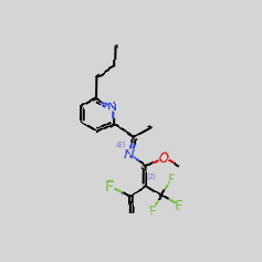 C=C(F)/C(=C(\N=C(/C)c1cccc(CCC)n1)OC)C(F)(F)F